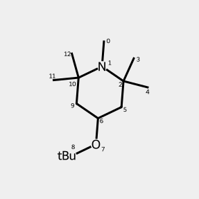 CN1C(C)(C)CC(OC(C)(C)C)CC1(C)C